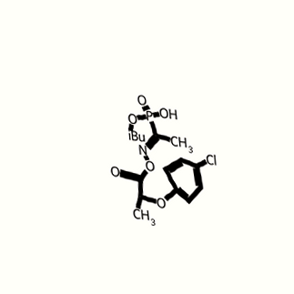 CCC(C)OP(=O)(O)C(C)=NOC(=O)C(C)Oc1ccc(Cl)cc1